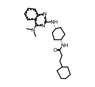 CN(C)c1nc(N[C@H]2CC[C@@H](NC(=O)CCC3CCCCC3)CC2)nc2ccccc12